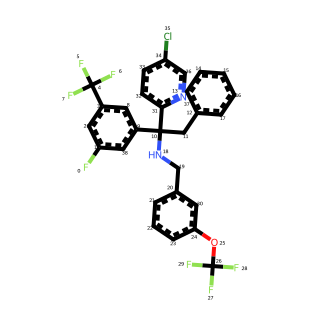 Fc1cc(C(F)(F)F)cc(C(Cc2ccccc2)(NCc2cccc(OC(F)(F)F)c2)c2ccc(Cl)cn2)c1